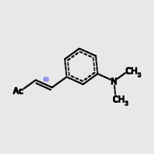 CC(=O)/C=C/c1cccc(N(C)C)c1